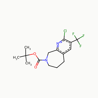 CC(C)(C)OC(=O)N1CCCc2cc(C(F)(F)F)c(Cl)nc2C1